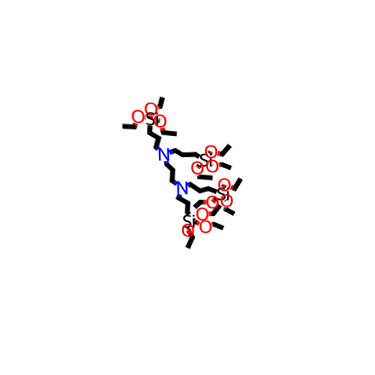 CCO[Si](CCCN(CCCN(CCC[Si](OCC)(OCC)OCC)CCC[Si](OCC)(OCC)OCC)CCC[Si](OCC)(OCC)OCC)(OCC)OCC